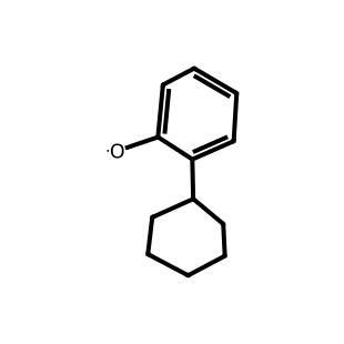 [O]c1ccccc1C1CCCCC1